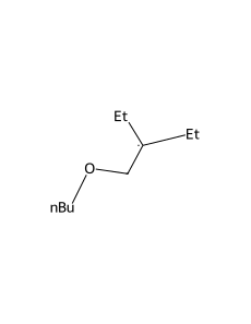 CCCCOC[C](CC)CC